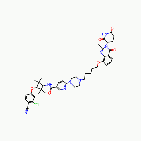 Cc1nc2c(OCCCCCN3CCN(c4ccc(C(=O)NC5C(C)(C)C(Oc6ccc(C#N)c(Cl)c6)C5(C)C)cn4)CC3)cccc2c(=O)n1C1CCC(=O)NC1=O